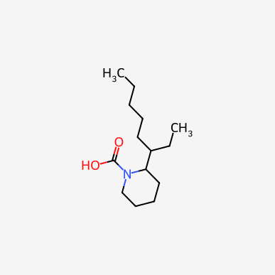 CCCCCC(CC)C1CCCCN1C(=O)O